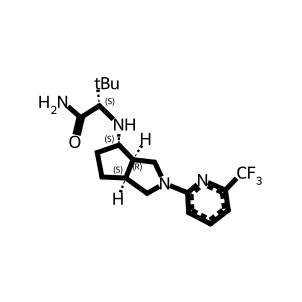 CC(C)(C)[C@H](N[C@H]1CC[C@@H]2CN(c3cccc(C(F)(F)F)n3)C[C@@H]21)C(N)=O